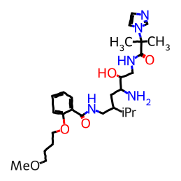 COCCCCOc1ccccc1C(=O)NCC(CC(N)C(O)CNC(=O)C(C)(C)n1ccnc1)C(C)C